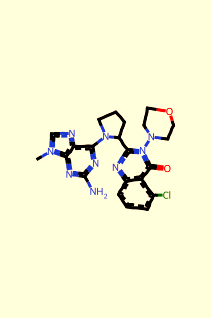 Cn1cnc2c(N3CCCC3c3nc4cccc(Cl)c4c(=O)n3N3CCOCC3)nc(N)nc21